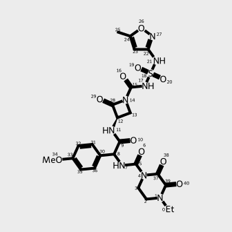 CCN1CCN(C(=O)NC(C(=O)N[C@@H]2CN(C(=O)NS(=O)(=O)Nc3cc(C)on3)C2=O)c2ccc(OC)cc2)C(=O)C1=O